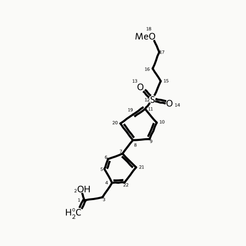 C=C(O)Cc1ccc(-c2ccc(S(=O)(=O)CCCOC)cc2)cc1